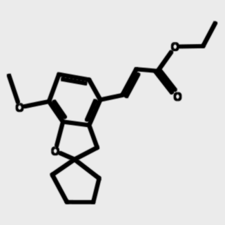 CCOC(=O)/C=C/c1ccc(OC)c2c1CC1(CCCC1)O2